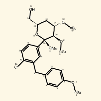 CCCCOc1ccc(Cc2cc([C@]3(OC)O[C@H](CO)C[C@H](OCCCC)[C@H]3OCCCC)ccc2Cl)cc1